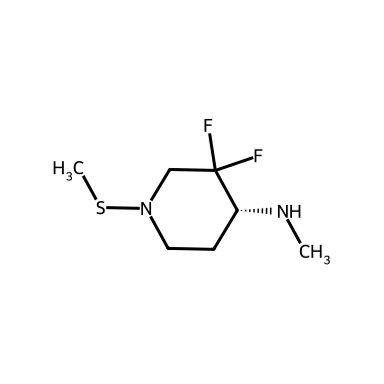 CN[C@@H]1CCN(SC)CC1(F)F